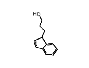 OCCCC1C=Cc2ccccc21